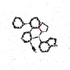 N#Cc1cncc(-c2ccccc2-c2ccccc2)c1N(c1cccc2[nH]ccc12)C1CCCC1